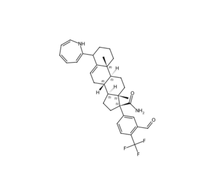 C[C@]12CCCC(C3=CC=CC=CN3)C1=CC[C@@H]1[C@@H]2CC[C@@]2(C)[C@H]1CC[C@@]2(C(N)=O)c1ccc(C(F)(F)F)c(C=O)c1